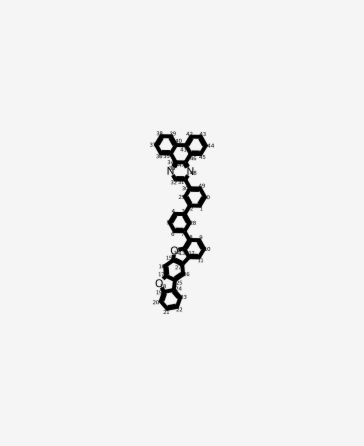 c1cc(-c2cccc(-c3cccc4c3oc3cc5oc6ccccc6c5cc34)c2)cc(-c2cnc3c4ccccc4c4ccccc4c3n2)c1